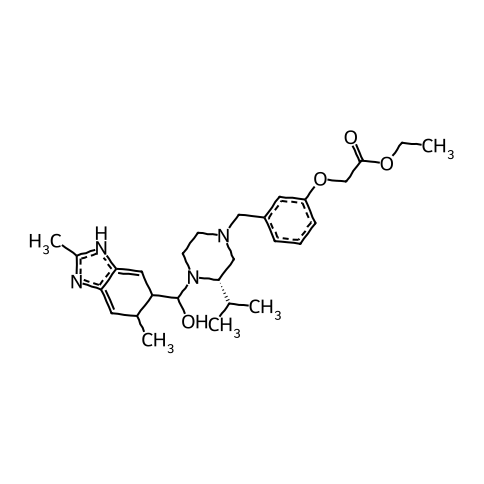 CCOC(=O)COc1cccc(CN2CCN(C(O)C3C=c4[nH]c(C)nc4=CC3C)[C@@H](C(C)C)C2)c1